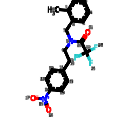 Cc1ccccc1CN(CCc1ccc([N+](=O)[O-])cc1)C(=O)C(F)(F)F